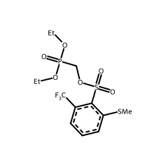 CCOP(=O)(COS(=O)(=O)c1c(SC)cccc1C(F)(F)F)OCC